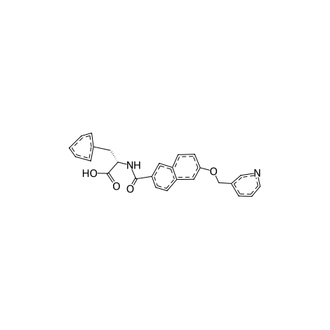 O=C(N[C@@H](Cc1ccccc1)C(=O)O)c1ccc2cc(OCc3cccnc3)ccc2c1